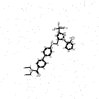 CCN(CC)C(=O)c1ccc(-c2ccc(OCc3cc(C(F)(F)F)nn3-c3ccccc3Cl)cc2)cc1